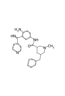 CN1CC(Cc2ccccc2)CC(C(=O)Nc2ccc(N)c(C(=N)c3ccncc3)c2)C1